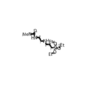 CCO[Si](CCCNCCNC(=O)NC)(OCC)OCC